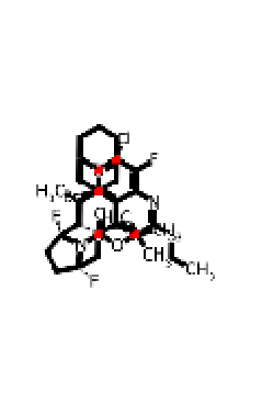 CCSc1nc(N2C[C@@]3(F)CC[C@@](F)([C@@H]2[C@@H](C)CB2C4CCCC2CCC4)N3C(=O)OC(C)(C)C)c2c(Br)nc(Cl)c(F)c2n1